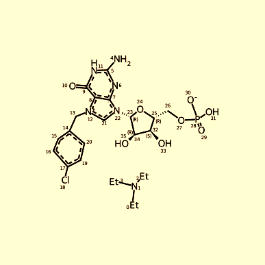 CCN(CC)CC.Nc1nc2c(c(=O)[nH]1)[n+](Cc1ccc(Cl)cc1)cn2[C@@H]1O[C@H](COP(=O)([O-])O)[C@@H](O)[C@H]1O